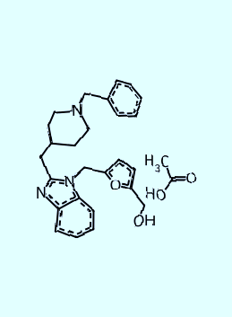 CC(=O)O.OCc1ccc(Cn2c(CC3CCN(Cc4ccccc4)CC3)nc3ccccc32)o1